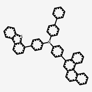 c1ccc(-c2ccc(N(c3ccc(-c4cc5ccc6ccccc6c5c5ccccc45)cc3)c3ccc(-c4cccc5c4sc4ccccc45)cc3)cc2)cc1